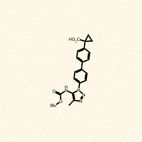 Cc1nnn(-c2ccc(-c3ccc(C4(C(=O)O)CC4)cc3)cc2)c1NC(=O)OC(C)(C)C